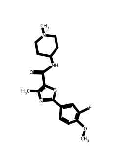 COc1ccc(-c2nc(C)c(C(=O)NC3CCN(C)CC3)s2)cc1F